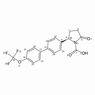 O=C(O)N1C(=O)CC[C@@H]1c1ccc(-c2ccc(OC(F)(F)F)cc2)cc1